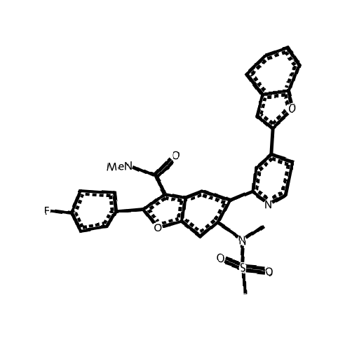 CNC(=O)c1c(-c2ccc(F)cc2)oc2cc(N(C)S(C)(=O)=O)c(-c3cc(-c4cc5ccccc5o4)ccn3)cc12